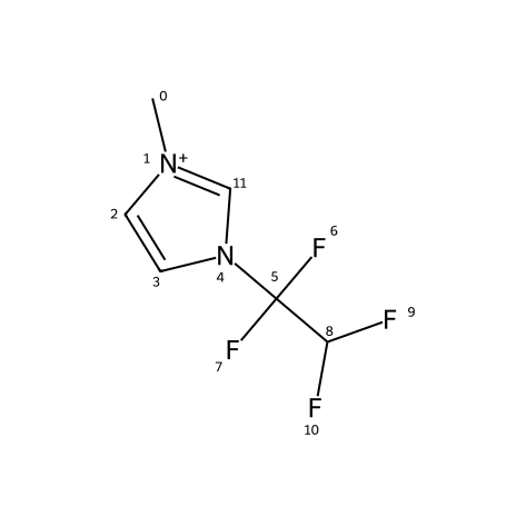 C[n+]1ccn(C(F)(F)C(F)F)c1